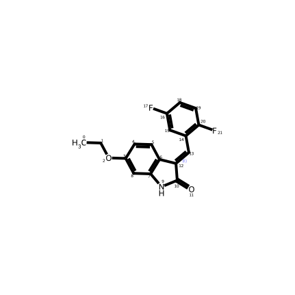 CCOc1ccc2c(c1)NC(=O)/C2=C/c1cc(F)ccc1F